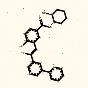 O=C(N[C@H]1CCCC[C@@H]1O)c1ccc(F)c(/C=C(\F)c2cncc(-c3ccccn3)c2)c1